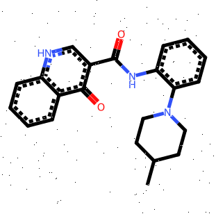 CC1CCN(c2ccccc2NC(=O)c2c[nH]c3ccccc3c2=O)CC1